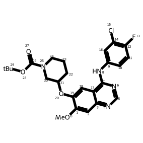 COc1cc2ncnc(Nc3ccc(F)c(Cl)c3)c2cc1OC1CCCN(C(=O)OC(C)(C)C)C1